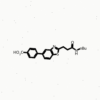 CCCCNC(=O)CCc1nc2cc(-c3ccc(C(=O)O)cc3)ccc2s1